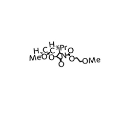 COCCOC(=O)N1C(=O)[C@@H](OC(C)(C)OC)[C@H]1C(C)C